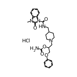 Cl.Cn1c(=O)n(C(=O)NCC2CCN(CC(COc3ccccc3)OC(N)=O)CC2)c2ccccc21